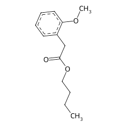 CCCCOC(=O)Cc1ccccc1OC